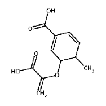 C=C(OC1C=C(C(=O)O)C=CC1C)C(=O)O